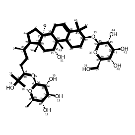 C[C@H](CC[C@@H](O[C@@H]1O[C@H](C)[C@@H](O)[C@H](O)[C@H]1O)C(C)(C)O)C1CC[C@@]2(C)C3CC=C4C(CC[C@H](O[C@@H]5O[C@H](CO)[C@@H](O)[C@H](O)[C@H]5O)C4(C)C)[C@]3(C)[C@H](O)C[C@]12C